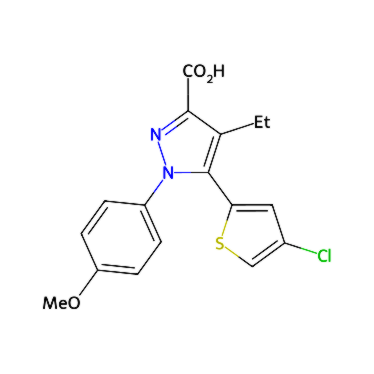 CCc1c(C(=O)O)nn(-c2ccc(OC)cc2)c1-c1cc(Cl)cs1